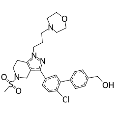 CS(=O)(=O)N1CCc2c(c(-c3ccc(Cl)c(-c4ccc(CO)cc4)c3)nn2CCCN2CCOCC2)C1